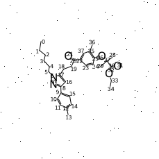 CCCCCCn1nc(-c2ccc(C)cc2)cc1CCC(=O)c1ccc(OC(C)(C)C(=O)OCC)c(C)c1